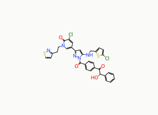 O=C(c1ccc(C(=O)n2nc(-c3cc(Cl)c(=O)n(CCc4ccsn4)c3)cc2NCc2ccc(Cl)s2)cc1)C(O)c1ccccc1